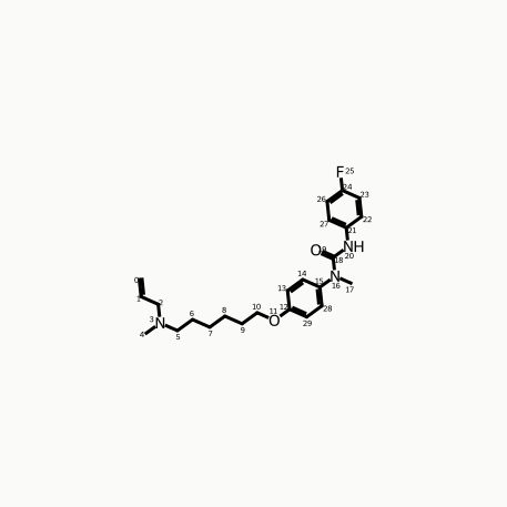 C=CCN(C)CCCCCCOc1ccc(N(C)C(=O)Nc2ccc(F)cc2)cc1